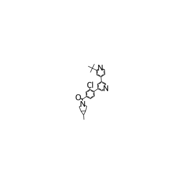 CC1C2CN(C(=O)c3ccc(-c4cncc(-c5ccnc(C(C)(C)C)c5)c4)c(Cl)c3)CC12